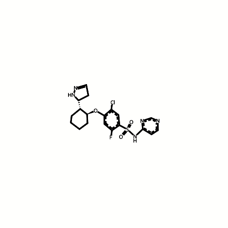 O=S(=O)(Nc1ccncn1)c1cc(Cl)c(O[C@H]2CCCC[C@@H]2C2CC=NN2)cc1F